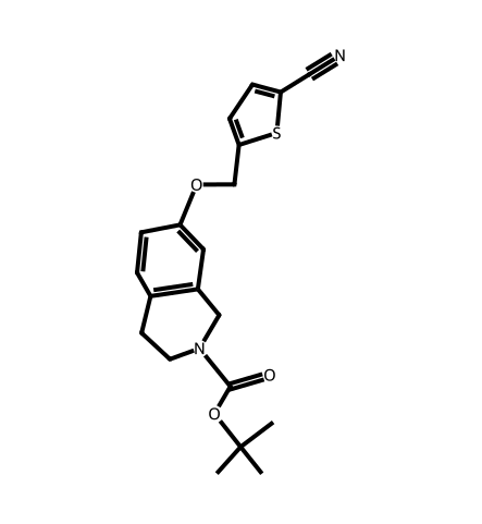 CC(C)(C)OC(=O)N1CCc2ccc(OCc3ccc(C#N)s3)cc2C1